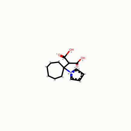 O=C(O)C(C(=O)O)C1(n2cccc2)CCCCCC1